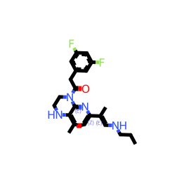 C/C=C(\N=C1/C(=C(C)C)NCCN1C(=O)Cc1cc(F)cc(F)c1)C(/C)=C/NCCC